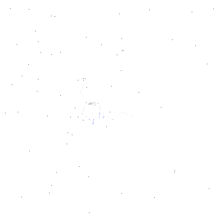 CCc1cnn([C@@H](C)CC)c1